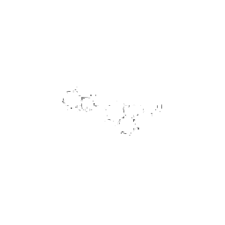 COc1c(OCC(F)(F)F)ccnc1C[S+]([O-])c1nc2ccccc2[nH]1